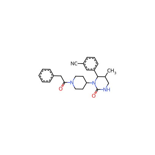 CC1CNC(=O)N(C2CCN(C(=O)Cc3ccccc3)CC2)C1c1cccc(C#N)c1